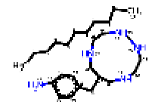 CCCCCCCCCCC.Nc1ccc(CC2CNCCNCNCCNC2)cc1